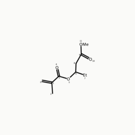 C=C(C)C(=O)OC(CC)CC(=O)OC